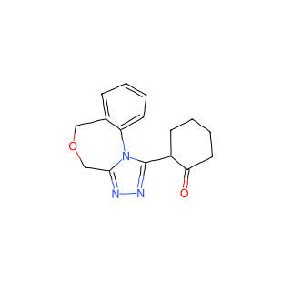 O=C1CCCCC1c1nnc2n1-c1ccccc1COC2